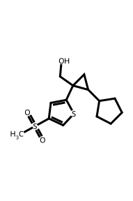 CS(=O)(=O)c1csc(C2(CO)CC2C2CCCC2)c1